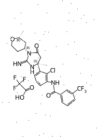 C[C@@H]1C[C@H](N2C(=N)N[C@](C)(c3cccc(NC(=O)c4cccc(C(F)(F)F)c4)c3Cl)CC2=O)CCO1.O=C(O)C(F)(F)F